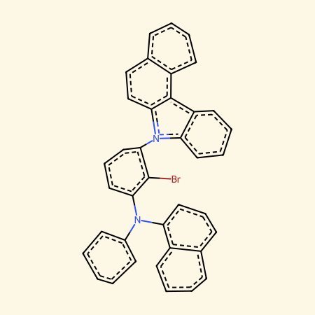 Brc1c(N(c2ccccc2)c2cccc3ccccc23)cccc1-n1c2ccccc2c2c3ccccc3ccc21